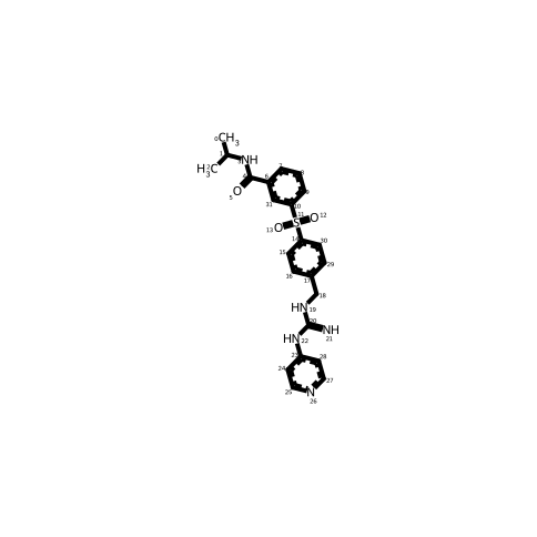 CC(C)NC(=O)c1cccc(S(=O)(=O)c2ccc(CNC(=N)Nc3ccncc3)cc2)c1